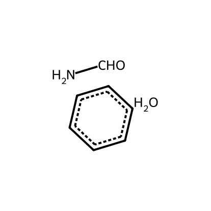 NC=O.O.c1ccccc1